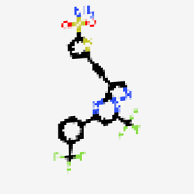 NS(=O)(=O)c1ccc(C#Cc2cnn3c(C(F)(F)F)cc(-c4cccc(C(F)(F)F)c4)nc23)s1